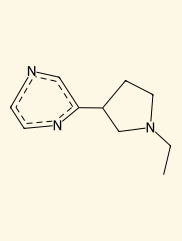 CCN1CCC(c2cnccn2)C1